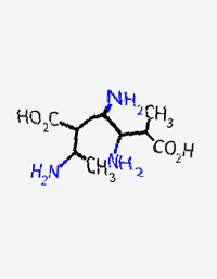 CC(N)C(C(=O)O)C(N)C(N)C(C)C(=O)O